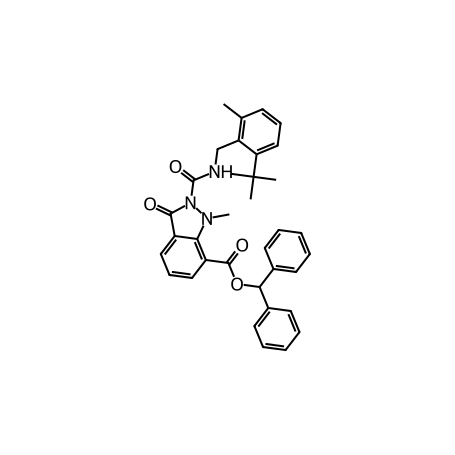 Cc1cccc(C(C)(C)C)c1CNC(=O)n1c(=O)c2cccc(C(=O)OC(c3ccccc3)c3ccccc3)c2n1C